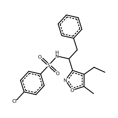 CCc1c(C(Cc2ccccc2)NS(=O)(=O)c2ccc(Cl)cc2)noc1C